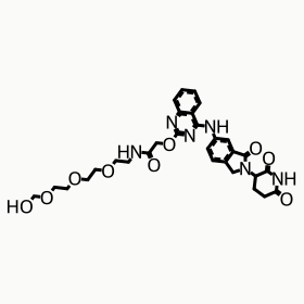 O=C(COc1nc(Nc2ccc3c(c2)C(=O)N(C2CCC(=O)NC2=O)C3)c2ccccc2n1)NCCOCCOCCOCO